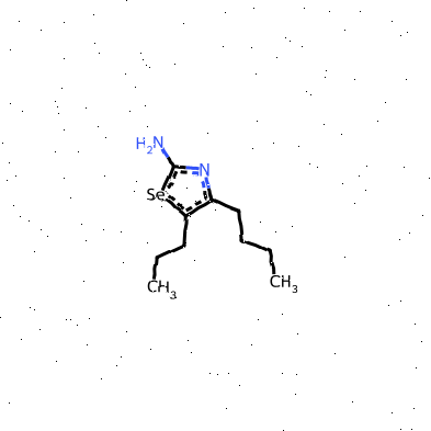 CCCCc1nc(N)[se]c1CCC